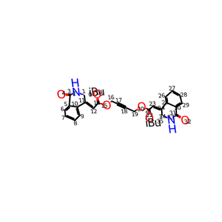 CC[C@H](C)[C@@H]1NC(=O)c2ccccc2/C1=C/C(=O)OCC#CCOC(=O)/C=C1/c2ccccc2C(=O)N[C@H]1[C@@H](C)CC